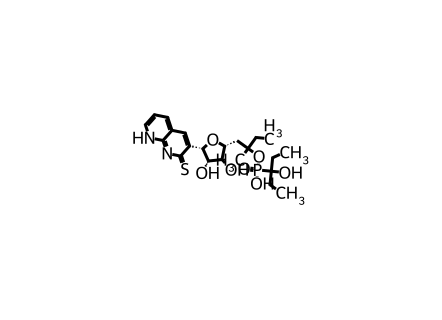 CCC(C)(C[C@H]1O[C@@H](c2cc3ccc[nH]c-3nc2=S)[C@@H](O)C1O)OP(=O)(O)C(O)(CC)CC